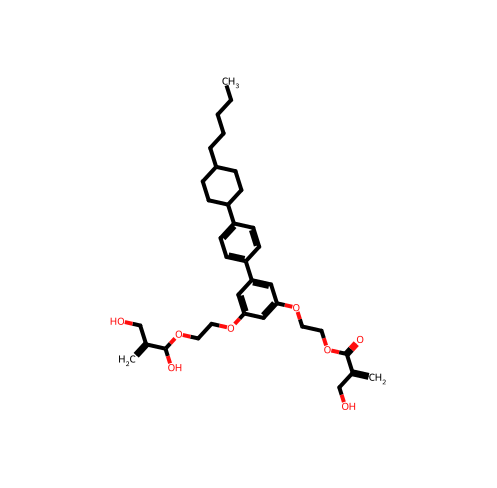 C=C(CO)C(=O)OCCOc1cc(OCCOC(O)C(=C)CO)cc(-c2ccc(C3CCC(CCCCC)CC3)cc2)c1